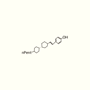 CCCCCC1CCC([C@H]2CC[C@H](C=Cc3ccc(O)cc3)CC2)CC1